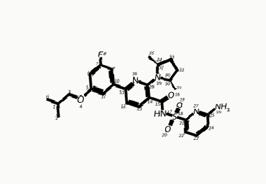 CC(C)COc1cc(F)cc(-c2ccc(C(=O)NS(=O)(=O)c3cccc(N)n3)c(N3[C@H](C)CC[C@@H]3C)n2)c1